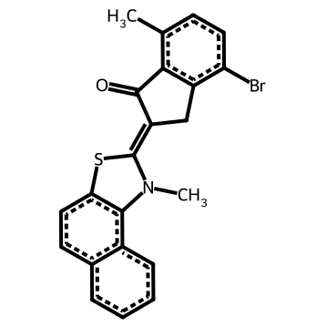 Cc1ccc(Br)c2c1C(=O)/C(=C1\Sc3ccc4ccccc4c3N1C)C2